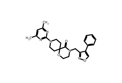 Cc1cc(C)nc(N2CCC3(CC2)OCCN(Cc2nocc2-c2ccccc2)C3=O)n1